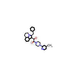 Cc1ccnc(N2CCN(C(=O)C(=O)c3c(Cc4ccccc4)n4c5c(cccc35)CCC4)CC2)c1